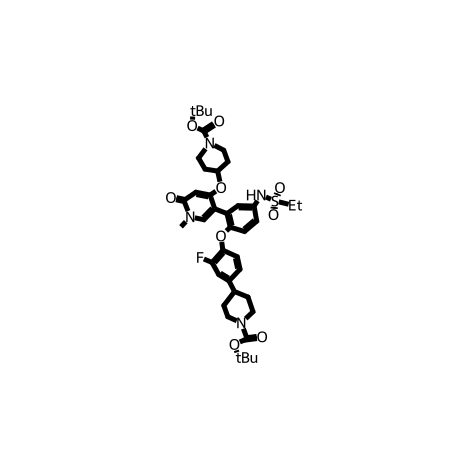 CCS(=O)(=O)Nc1ccc(Oc2ccc(C3CCN(C(=O)OC(C)(C)C)CC3)cc2F)c(-c2cn(C)c(=O)cc2OC2CCN(C(=O)OC(C)(C)C)CC2)c1